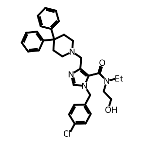 CCN(CCO)C(=O)c1c(CN2CCC(c3ccccc3)(c3ccccc3)CC2)ncn1Cc1ccc(Cl)cc1